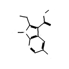 COC(=O)c1c(CBr)n(P)c2ncc(C)cc12